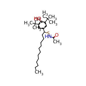 CCCCCCCCCCCCC(SNC(C)=O)c1cc(C(C)(C)C)c(O)c(C(C)(C)C)c1